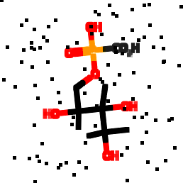 CC(C)(O)C(C)(O)C(C)(O)COP(=O)(O)C(=O)O